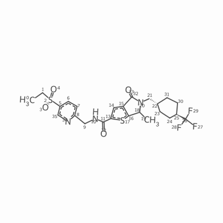 CCS(=O)(=O)c1ccc(CNC(=O)c2cc3c(s2)C(C)N(C[C@H]2CC[C@H](C(F)(F)F)CC2)C3=O)nc1